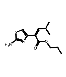 CCCOC(=O)/C(=C\C(C)C)c1csc(N)n1